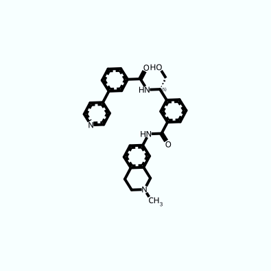 CN1CCc2ccc(NC(=O)c3cccc([C@@H](CO)NC(=O)c4cccc(-c5ccncc5)c4)c3)cc2C1